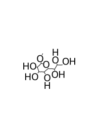 COC1OC(C(O)C(O)CO)C(O)C(O)C1O